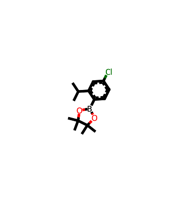 CC(C)c1cc(Cl)ccc1B1OC(C)(C)C(C)(C)O1